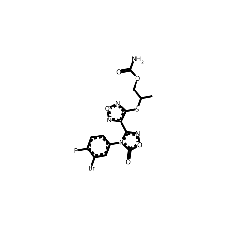 CC(COC(N)=O)Sc1nonc1-c1noc(=O)n1-c1ccc(F)c(Br)c1